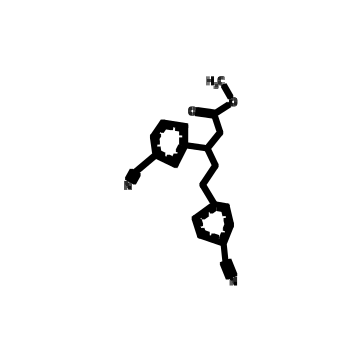 COC(=O)CC(CCc1ccc(C#N)cc1)c1cccc(C#N)c1